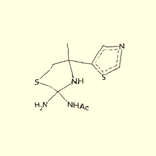 CC(=O)NC1(N)NC(C)(c2cncs2)CS1